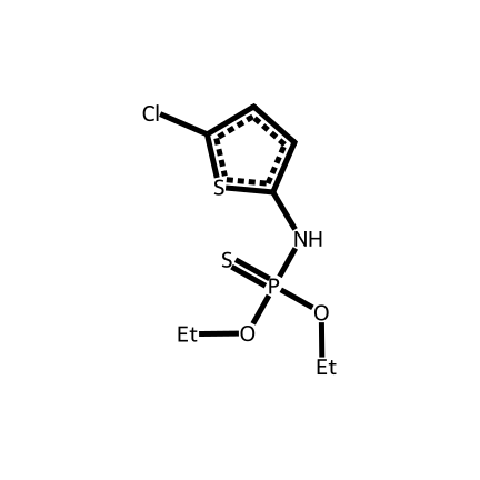 CCOP(=S)(Nc1ccc(Cl)s1)OCC